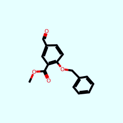 COC(=O)c1cc(C=O)ccc1OCc1ccccc1